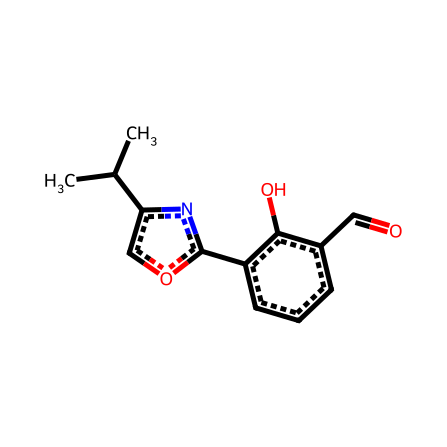 CC(C)c1coc(-c2cccc(C=O)c2O)n1